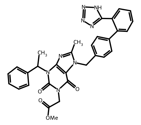 COC(=O)Cn1c(=O)c2c(nc(C)n2Cc2ccc(-c3ccccc3-c3nnn[nH]3)cc2)n(C(C)c2ccccc2)c1=O